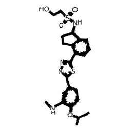 CNc1cc(-c2nnc(-c3cccc4c3CCC4NS(=O)(=O)CCO)s2)ccc1OC(C)C